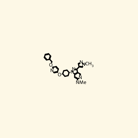 CNc1cc2c(cn1)c(-c1cnn(C)c1)nn2[C@H]1CC[C@@H](Oc2ccc(OCc3ccccc3)nc2)CC1